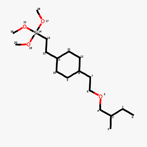 CCC(C)COCCC1CCC(CC[Si](OC)(OC)OC)CC1